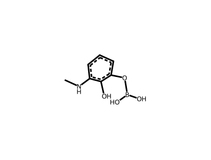 CNc1cccc(OB(O)O)c1O